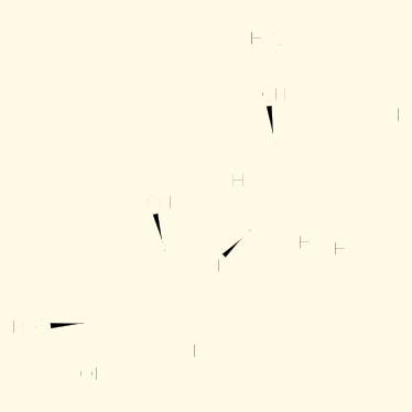 C/C=C1/[C@H]2C[C@H]2[C@H]2[C@@H]3CC[C@H]4C[C@](C)(O)CC[C@]4(C)[C@H]3CC[C@]12C